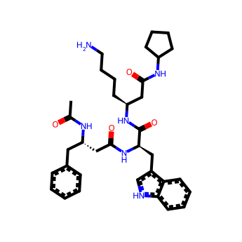 CC(=O)N[C@H](CC(=O)N[C@H](Cc1c[nH]c2ccccc12)C(=O)N[C@@H](CCCCN)CC(=O)NC1CCCC1)Cc1ccccc1